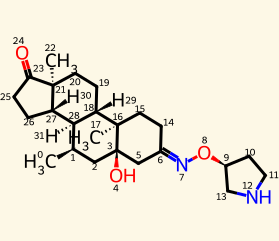 C[C@@H]1C[C@@]2(O)C/C(=N/O[C@H]3CCNC3)CC[C@]2(C)[C@H]2CC[C@]3(C)C(=O)CC[C@H]3[C@H]12